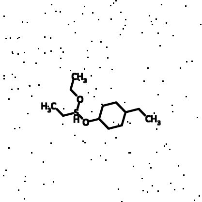 CCO[SH](CC)OC1CCC(CC)CC1